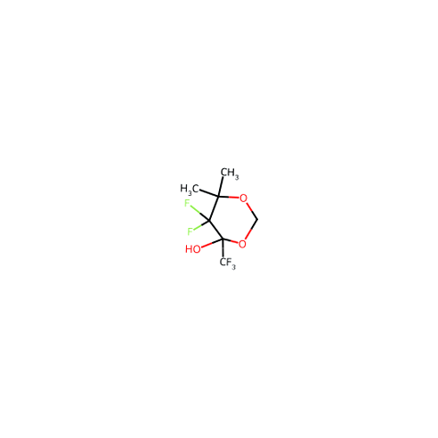 CC1(C)OCOC(O)(C(F)(F)F)C1(F)F